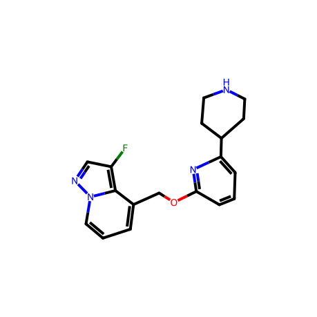 Fc1cnn2cccc(COc3cccc(C4CCNCC4)n3)c12